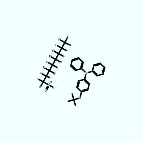 CC(C)(C)Oc1ccc([S+](c2ccccc2)c2ccccc2)cc1.O=S(=O)([O-])C(F)(F)C(F)(F)C(F)(F)C(F)(F)C(F)(F)C(F)(F)C(F)(F)C(F)(F)F